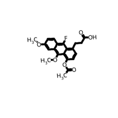 COc1ccc2c(F)c3c(CCC(=O)O)ccc(OC(C)=O)c3c(OC)c2c1